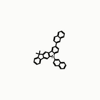 CC1(C)c2ccccc2-c2cc3c(cc21)c1cc(-c2ccc4ccccc4c2)ccc1n3-c1ccc2ccccc2c1